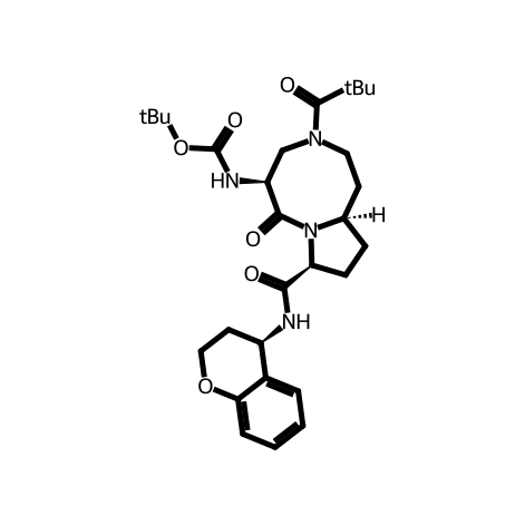 CC(C)(C)OC(=O)N[C@H]1CN(C(=O)C(C)(C)C)CC[C@H]2CC[C@@H](C(=O)N[C@@H]3CCOc4ccccc43)N2C1=O